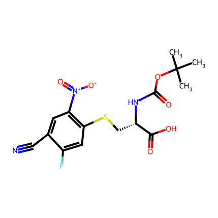 CC(C)(C)OC(=O)N[C@@H](CSc1cc(F)c(C#N)cc1[N+](=O)[O-])C(=O)O